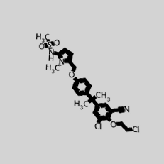 Cn1c(COc2ccc(C(C)(C)c3cc(Cl)c(OCCCl)c(C#N)c3)cc2)ccc1NS(C)(=O)=O